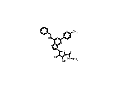 CNC(=O)[C@@H]1OC(n2cnc3c(NCc4ccccc4)nc(-c4ccc(C)nc4)nc32)C(O)C1O